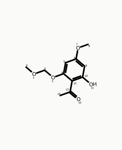 COCOc1cc(OC)cc(O)c1C(C)=O